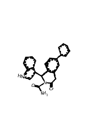 NC(=O)N1C(=O)Cc2cc(-c3ccccc3)ccc2C1c1c[nH]c2ccccc12